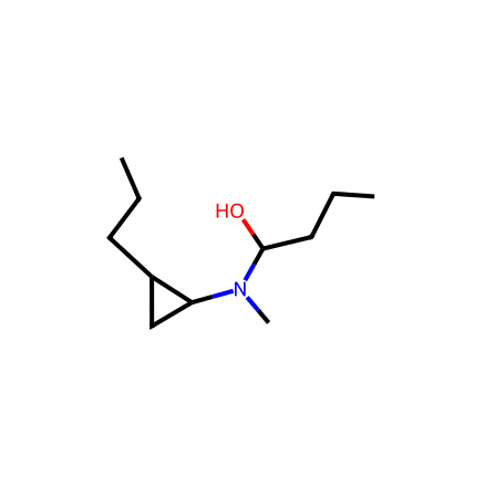 CCCC1CC1N(C)C(O)CCC